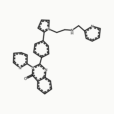 O=c1c2ccccc2nc(-c2ccc(-c3cccn3CCNCc3ccccn3)cc2)n1-c1ccccn1